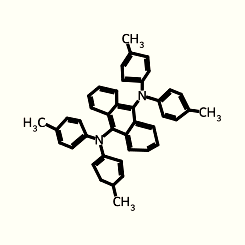 Cc1ccc(N(C2=CCC(C)C=C2)c2c3ccccc3c(N(c3ccc(C)cc3)c3ccc(C)cc3)c3ccccc23)cc1